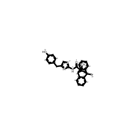 CC1(C(=O)Nc2nc(Cc3ccc(O)cc3)cs2)CC2(Br)c3ccccc3C1c1ccccc12